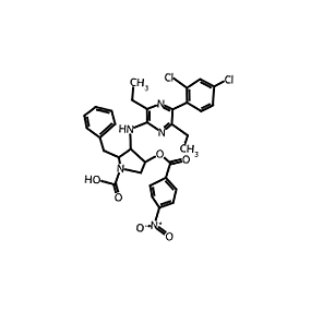 CCc1nc(-c2ccc(Cl)cc2Cl)c(CC)nc1NC1C(OC(=O)c2ccc([N+](=O)[O-])cc2)CN(C(=O)O)C1Cc1ccccc1